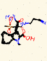 Cn1c(C(=O)O)c(C(C(N)=O)(C(=O)NCCC#N)S(C)(=O)=O)c2ccccc21